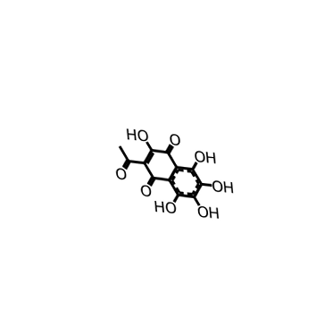 CC(=O)C1=C(O)C(=O)c2c(O)c(O)c(O)c(O)c2C1=O